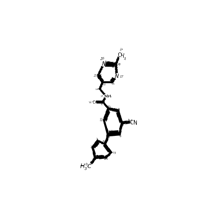 Cc1ccc(-c2cc(C#N)cc(C(=O)NCc3cnc(C)nc3)c2)cc1